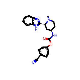 CN1CC[C@@H](NC(=O)Oc2ccc(C#N)cc2)C[C@@H]1c1nc2ccccc2[nH]1